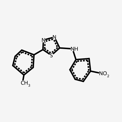 Cc1cccc(-c2nnc(Nc3cccc([N+](=O)[O-])c3)s2)c1